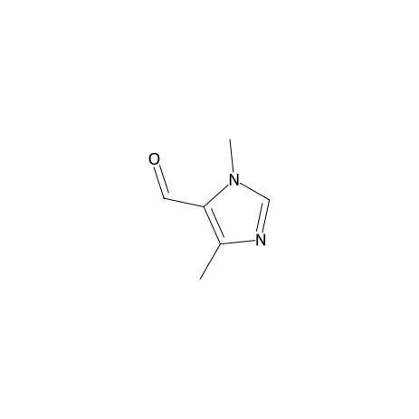 Cc1ncn(C)c1C=O